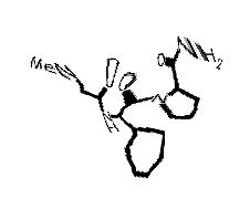 CNCC(=O)NC(C(=O)N1CCCC1C(N)=O)C1CCCCC1